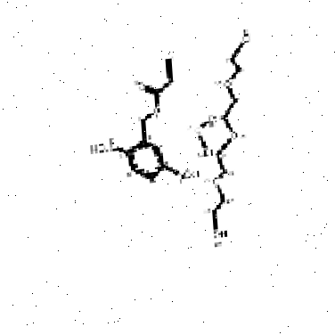 C=CC(=O)OCc1cc(CCCCCCCC)ccc1C(=O)O.CCOCC.OCCOCCOCCOCCO